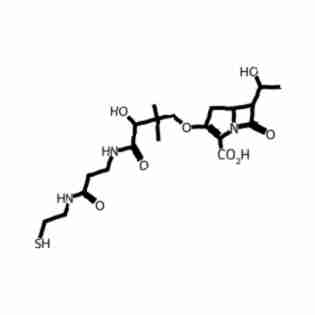 CC(O)C1C(=O)N2C(C(=O)O)=C(OCC(C)(C)C(O)C(=O)NCCC(=O)NCCS)CC12